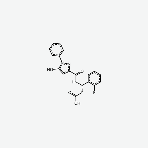 O=C(O)C[C@H](NC(=O)c1cc(O)n(-c2ccccc2)n1)c1ccccc1F